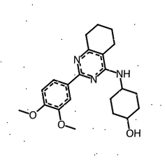 COc1ccc(-c2nc3c(c(NC4CCC(O)CC4)n2)CCCC3)cc1OC